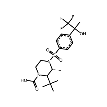 C[C@@H]1C(C(C)(C)C)N(C(=O)O)CCN1S(=O)(=O)c1ccc(C(C)(O)C(F)(F)F)cc1